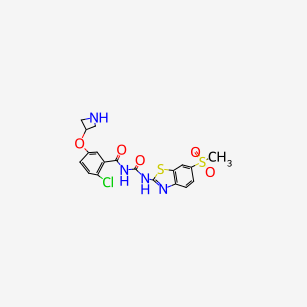 CS(=O)(=O)c1ccc2nc(NC(=O)NC(=O)c3cc(OC4CNC4)ccc3Cl)sc2c1